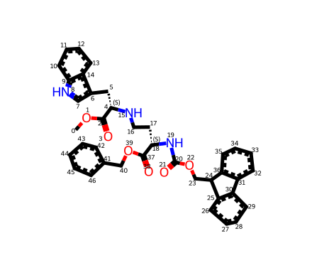 COC(=O)[C@H](Cc1c[nH]c2ccccc12)NCC[C@H](NC(=O)OCC1c2ccccc2-c2ccccc21)C(=O)OCc1ccccc1